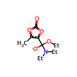 CCOC([O])(c1oc(=O)oc1C)N(CC)CC